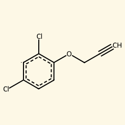 C#CCOc1ccc(Cl)[c]c1Cl